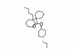 CCCCC1(C2(C(=O)O[C@H]3CC[C@H](CCC)CC3)CCCCC2)CCCCC1